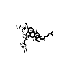 CCN(C(=O)O)[C@H]1CC[C@]2(C)[C@H]3CC[C@]4(C)[C@@H]([C@H](C)CCCC(C)C)CC[C@H]4[C@@H]3C[C@@H](NCCc3c[nH]cn3)[C@@]2(O)C1